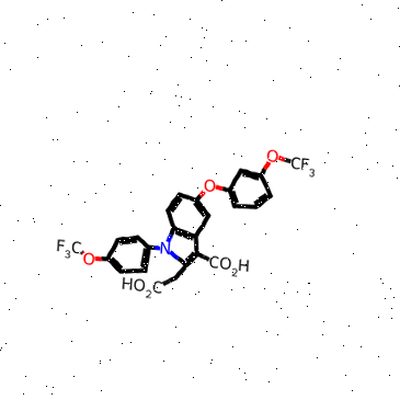 O=C(O)Cc1c(C(=O)O)c2cc(Oc3cccc(OC(F)(F)F)c3)ccc2n1-c1ccc(OC(F)(F)F)cc1